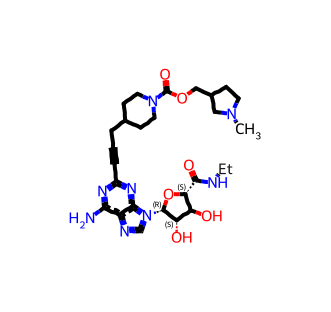 CCNC(=O)[C@H]1O[C@@H](n2cnc3c(N)nc(C#CCC4CCN(C(=O)OCC5CCN(C)C5)CC4)nc32)[C@@H](O)C1O